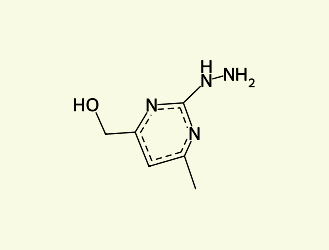 Cc1cc(CO)nc(NN)n1